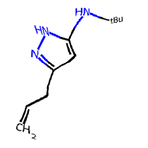 C=CCc1cc(NC(C)(C)C)[nH]n1